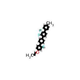 C=CCOc1ccc(C2CCC(c3ccc(-c4ccc(C)cc4)c(F)c3F)CC2)c(F)c1